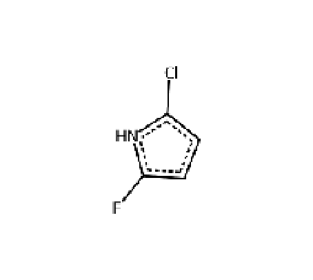 Fc1ccc(Cl)[nH]1